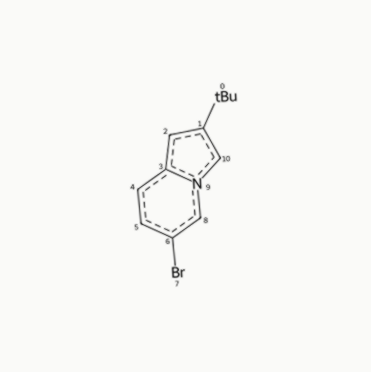 CC(C)(C)c1cc2ccc(Br)cn2c1